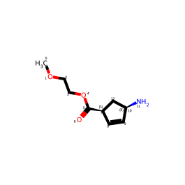 COCCOC(=O)[C@@H]1C=C[C@H](N)C1